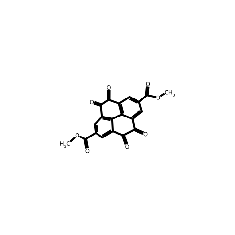 COC(=O)c1cc2c3c(c1)c(=O)c(=O)c1cc(C(=O)OC)cc(c1-3)c(=O)c2=O